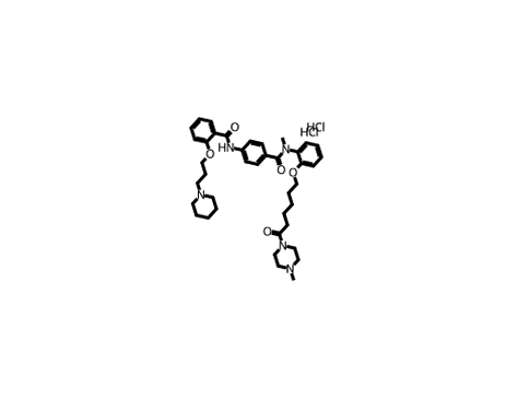 CN1CCN(C(=O)CCCCCOc2ccccc2N(C)C(=O)c2ccc(NC(=O)c3ccccc3OCCCN3CCCCC3)cc2)CC1.Cl.Cl